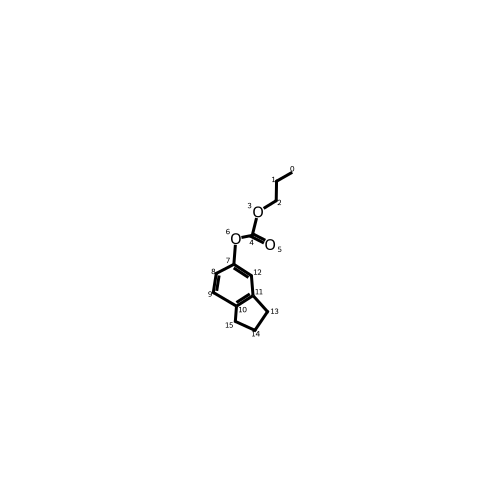 CCCOC(=O)Oc1ccc2c(c1)CCC2